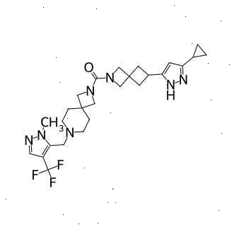 Cn1ncc(C(F)(F)F)c1CN1CCC2(CC1)CN(C(=O)N1CC3(CC(c4cc(C5CC5)n[nH]4)C3)C1)C2